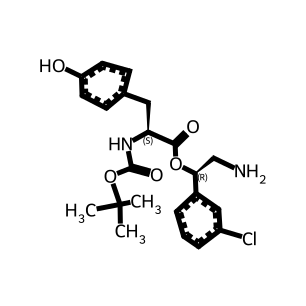 CC(C)(C)OC(=O)N[C@@H](Cc1ccc(O)cc1)C(=O)O[C@@H](CN)c1cccc(Cl)c1